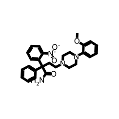 COc1ccccc1N1CCN(CCC(C(N)=O)(c2ccccc2)c2ccccc2[N+](=O)[O-])CC1